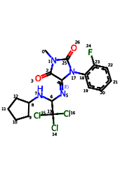 CN1C(=O)/C(=N\C(NC2CCCC2)C(Cl)(Cl)Cl)N(c2ccccc2F)C1=O